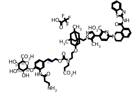 Cc1c(-c2ccc(N3CCc4cccc(C(=O)Nc5nc6ccccc6s5)c4C3)nc2C(=O)O)cnn1CC12CC3(C)CC(C)(C1)CC(OCCN(CCC(=O)O)C(=O)OC/C=C/c1ccc(O[C@@H]4O[C@H](C(=O)O)[C@@H](O)[C@H](O)[C@H]4O)c(NC(=O)CCN)c1)(C3)C2.O=C(O)C(F)(F)F